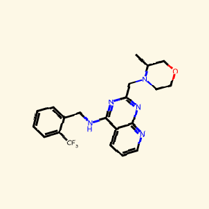 CC1COCCN1Cc1nc(NCc2ccccc2C(F)(F)F)c2cccnc2n1